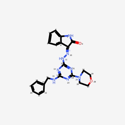 O=C1Nc2ccccc2/C1=N\Nc1nc(NCc2ccccc2)nc(N2CCOCC2)n1